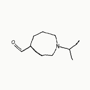 CC(C)N1CCCC(C=O)CC1